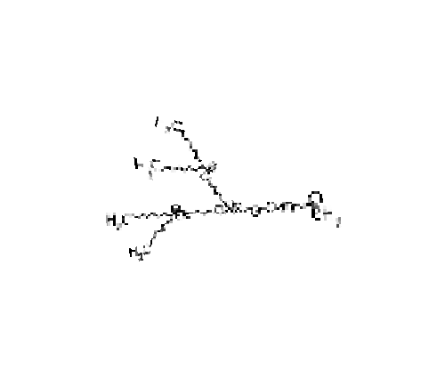 CCCCCCCCC(CCCCCCCC)C(=O)OCCCCCCOCC(COCCOCCOCCOCCC1CCCCN1C)OCCCCCCOC(=O)C(CCCCCCCC)CCCCCCCC